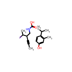 CC#CC(CNC(=O)O)C(C)I.Cc1cc(O)ccc1C(C)C